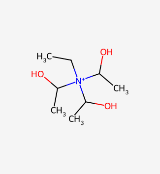 CC[N+](C(C)O)(C(C)O)C(C)O